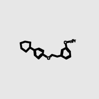 CCCOc1cccc(CCOc2ccc(C3CCCCC3)cc2)c1